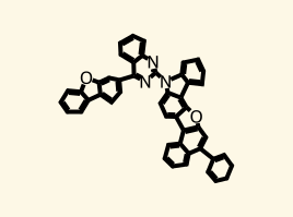 C1=CC(c2cc3oc4c(ccc5c4c4ccccc4n5-c4nc(-c5ccc6c(c5)oc5ccccc56)c5ccccc5n4)c3c3ccccc23)=CCC1